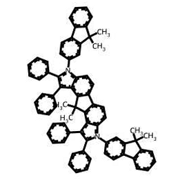 CC1(C)c2ccccc2-c2ccc(-n3c(-c4ccccc4)c(-c4ccccc4)c4c5c(ccc43)-c3ccc4c(c(-c6ccccc6)c(-c6ccccc6)n4-c4ccc6c(c4)C(C)(C)c4ccccc4-6)c3C5(C)C)cc21